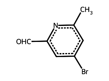 Cc1cc(Br)cc(C=O)n1